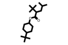 CC(C)CC(C(=O)OC1CCC(C(C)(C)C)CC1)C(C)(C)C